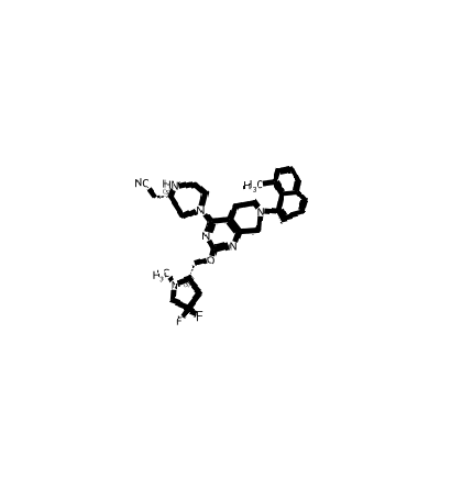 Cc1cccc2cccc(N3CCc4c(nc(OC[C@@H]5CC(F)(F)CN5C)nc4N4CCN[C@@H](CC#N)C4)C3)c12